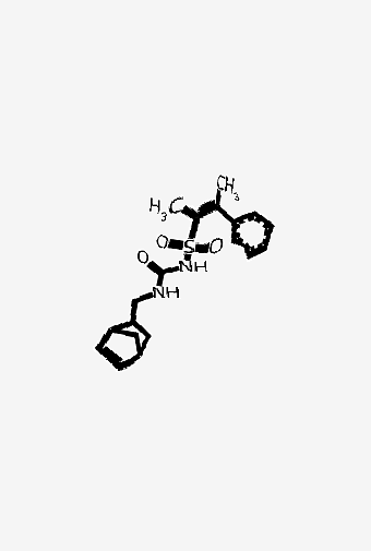 CC(=C(C)S(=O)(=O)NC(=O)NCC1CC2C=CC1C2)c1ccccc1